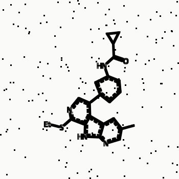 CCSc1ncc(-c2cccc(NC(=O)C3CC3)c2)c2c1[nH]c1ncc(C)cc12